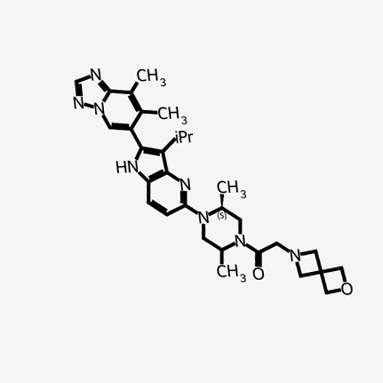 Cc1c(-c2[nH]c3ccc(N4CC(C)N(C(=O)CN5CC6(COC6)C5)C[C@@H]4C)nc3c2C(C)C)cn2ncnc2c1C